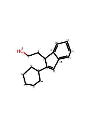 OCCC1C(C2CCCCC2)=Cc2ccccc21